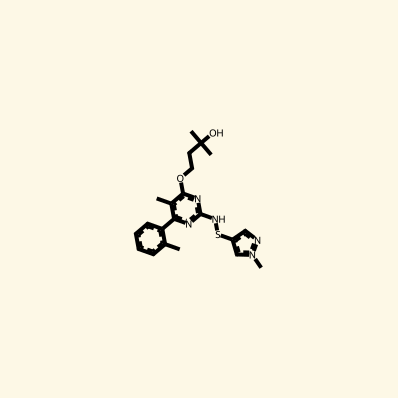 Cc1ccccc1-c1nc(NSc2cnn(C)c2)nc(OCCC(C)(C)O)c1C